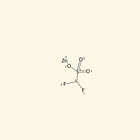 O=S(=O)([O][Zn])C(F)F